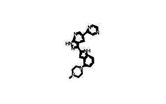 CN1CCN(c2cccc3[nH]c(-c4n[nH]c5ncc(-c6cnccn6)cc45)cc23)CC1